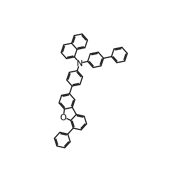 c1ccc(-c2ccc(N(c3ccc(-c4ccc5oc6c(-c7ccccc7)cccc6c5c4)cc3)c3cccc4ccccc34)cc2)cc1